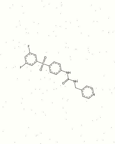 O=C(NCc1ccncc1)Nc1ccc(S(=O)(=O)c2cc(F)cc(F)c2)cc1